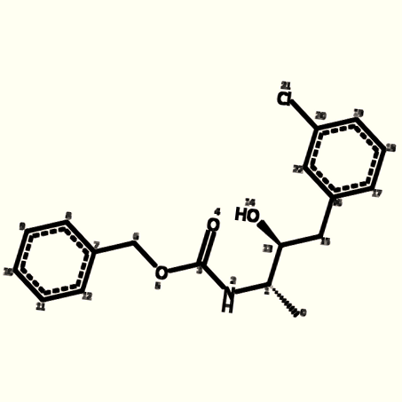 C[C@H](NC(=O)OCc1ccccc1)[C@@H](O)Cc1cccc(Cl)c1